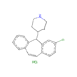 Cl.Clc1ccc2c(c1)C(C1CCNCC1)c1ccccc1C=C2